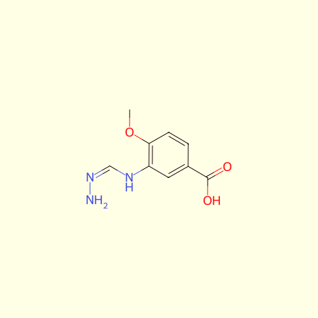 COc1ccc(C(=O)O)cc1N/C=N\N